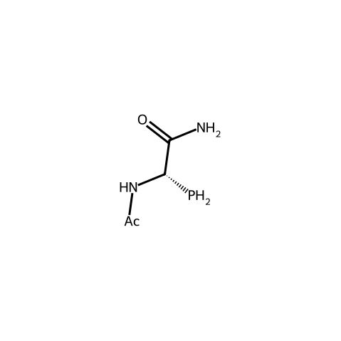 CC(=O)N[C@@H](P)C(N)=O